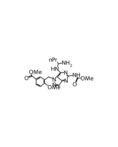 CCCC(N)Nc1nc(NC(=O)OC)nc2cnn(Cc3cc(C(=O)OC)ccc3OC)c12